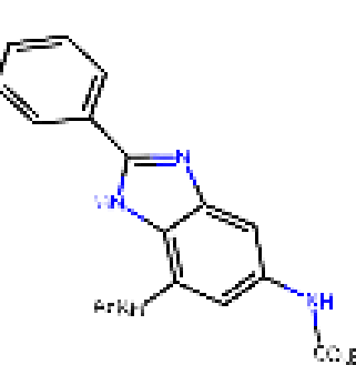 CCOC(=O)Nc1cc(NC(C)=O)c2[nH]c(-c3ccccc3)nc2c1